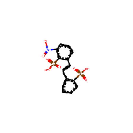 O=[N+]([O-])c1cccc(/C=C/c2ccccc2S(=O)(=O)O)c1S(=O)(=O)O